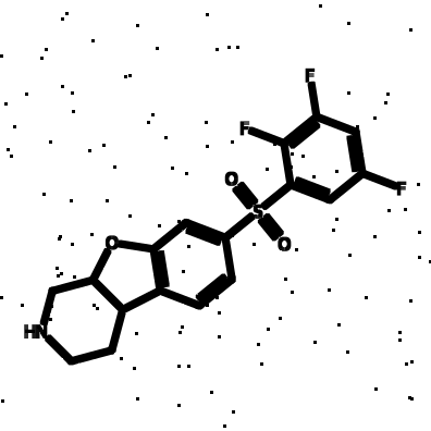 O=S(=O)(c1ccc2c(c1)OC1CNCCC21)c1cc(F)cc(F)c1F